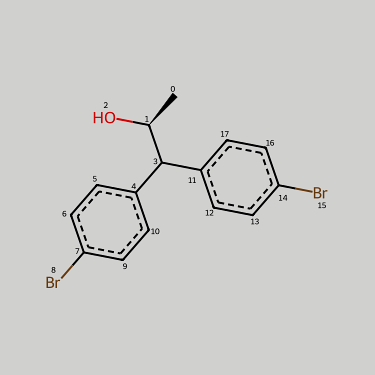 C[C@H](O)C(c1ccc(Br)cc1)c1ccc(Br)cc1